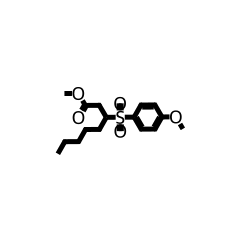 CCCCCC(CC(=O)OC)S(=O)(=O)c1ccc(OC)cc1